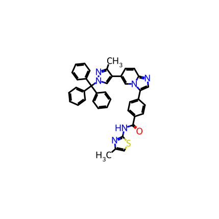 Cc1csc(NC(=O)c2ccc(-c3cnc4ccc(-c5cn(C(c6ccccc6)(c6ccccc6)c6ccccc6)nc5C)cn34)cc2)n1